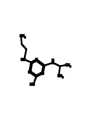 CC(N)Nc1nc(O)nc(NCCN)n1